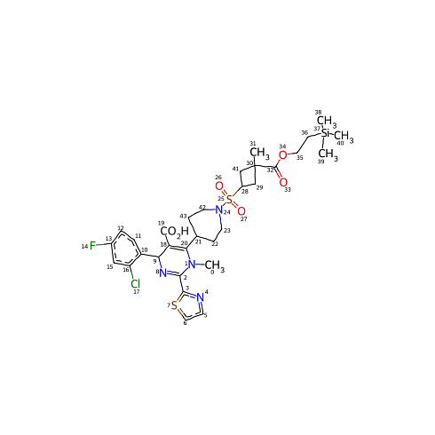 CN1C(c2nccs2)=NC(c2ccc(F)cc2Cl)C(C(=O)O)=C1C1CCN(S(=O)(=O)C2CC(C)(C(=O)OCC[Si](C)(C)C)C2)CC1